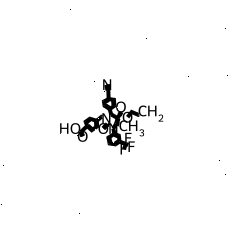 C=CCOC(=O)C1=C(C)N(c2cccc(C(F)(F)F)c2)C(=O)N(Cc2ccc(C(=O)O)cc2)C1c1ccc(C#N)cc1